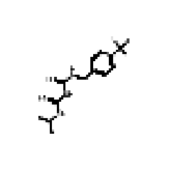 CC(C)NC(=N)NC(=N)NCc1ccc(C(F)(F)F)cc1